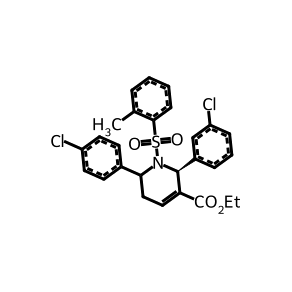 CCOC(=O)C1=CCC(c2ccc(Cl)cc2)N(S(=O)(=O)c2ccccc2C)[C@H]1c1cccc(Cl)c1